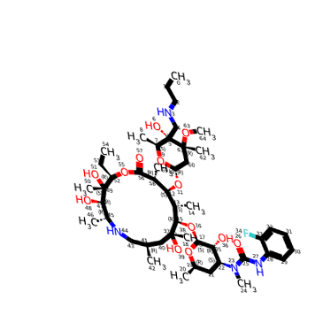 CCCNC[C@]1(O)[C@H](C)O[C@@H](O[C@H]2[C@H](C)[C@@H](O[C@@H]3O[C@H](C)C[C@H](N(C)C(=O)Nc4ccccc4F)[C@H]3O)[C@](C)(O)C[C@@H](C)CN[C@H](C)[C@@H](O)[C@](C)(O)[C@@H](CC)OC(=O)[C@@H]2C)C[C@@]1(C)OC